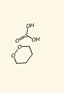 C1CCOOC1.O=S(O)O